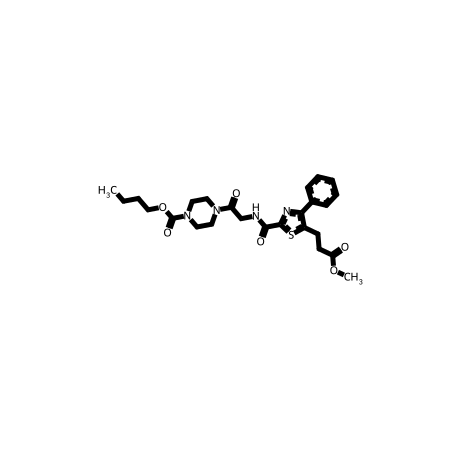 CCCCOC(=O)N1CCN(C(=O)CNC(=O)c2nc(-c3ccccc3)c(CCC(=O)OC)s2)CC1